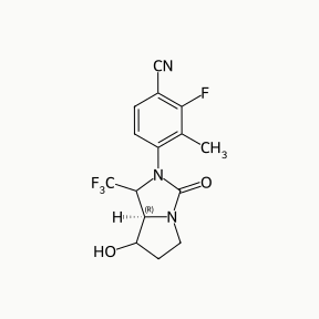 Cc1c(N2C(=O)N3CCC(O)[C@H]3C2C(F)(F)F)ccc(C#N)c1F